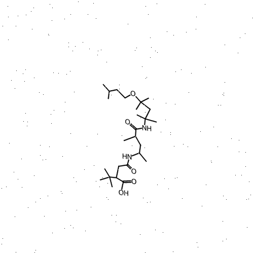 CC(C)CCOC(C)(C)CC(C)(C)NC(=O)C(C)CC(C)NC(=O)CC(C(=O)O)C(C)(C)C